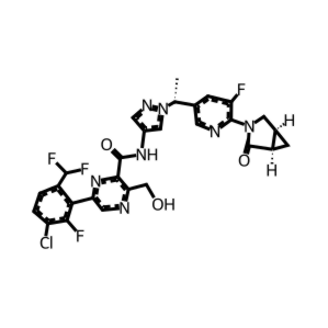 C[C@H](c1cnc(N2C[C@H]3C[C@H]3C2=O)c(F)c1)n1cc(NC(=O)c2nc(-c3c(C(F)F)ccc(Cl)c3F)cnc2CO)cn1